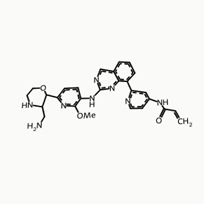 C=CC(=O)Nc1ccnc(-c2cccc3cnc(Nc4ccc(C5OCCNC5CN)nc4OC)nc23)c1